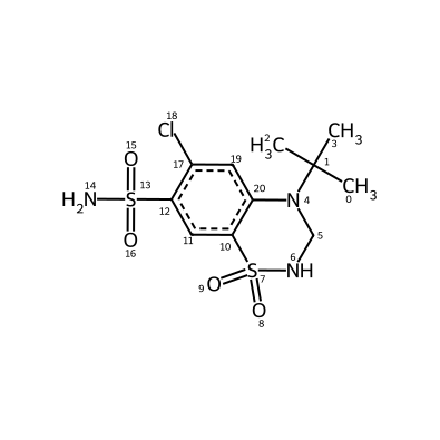 CC(C)(C)N1CNS(=O)(=O)c2cc(S(N)(=O)=O)c(Cl)cc21